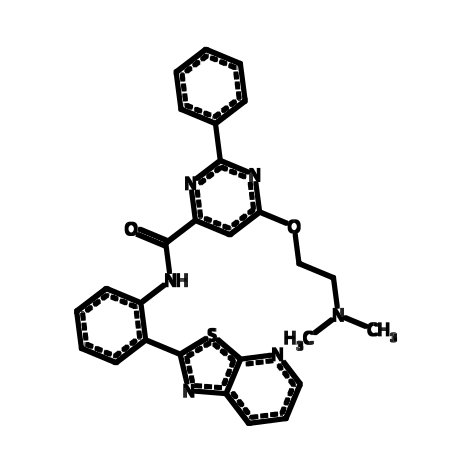 CN(C)CCOc1cc(C(=O)Nc2ccccc2-c2nc3cccnc3s2)nc(-c2ccccc2)n1